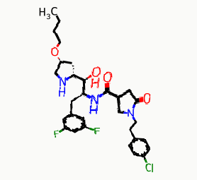 CCCCO[C@H]1CN[C@@H]([C@@H](O)[C@H](Cc2cc(F)cc(F)c2)NC(=O)C2CC(=O)N(CCc3ccc(Cl)cc3)C2)C1